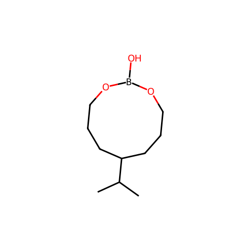 CC(C)C1CCCOB(O)OCCC1